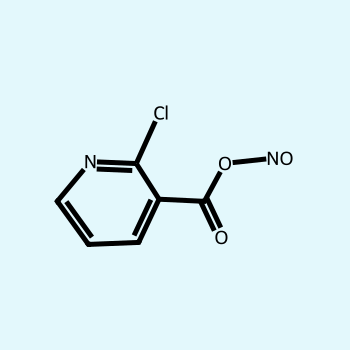 O=NOC(=O)c1cccnc1Cl